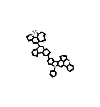 CC1C/C=C/C=C\c2c(C3Cc4ccc(-c5ccc6c(c5)c5c7cccc8c7c(cc5n6-c5ccccc5)-c5ccccc5S8)cc4-c4ccccc43)cc3cccnc3c21